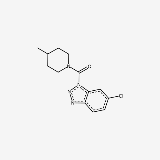 CC1CCN(C(=O)n2nnc3ccc(Cl)cc32)CC1